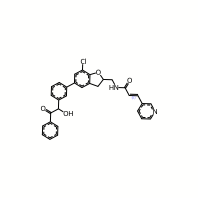 O=C(/C=C/c1cccnc1)NCC1Cc2cc(-c3cccc(C(O)C(=O)c4ccccc4)c3)cc(Cl)c2O1